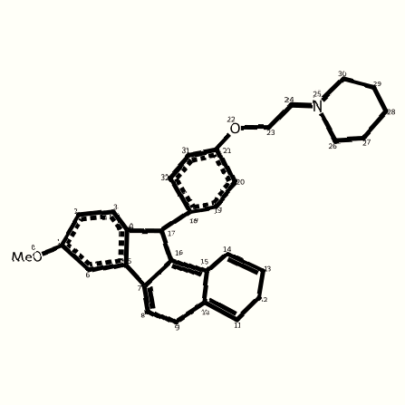 COc1ccc2c(c1)C1=CCC3=CCC=CC3=C1C2c1ccc(OCCN2CCCCC2)cc1